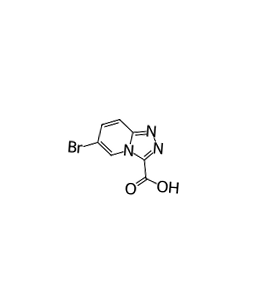 O=C(O)c1nnc2ccc(Br)cn12